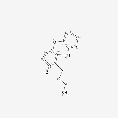 CCCCc1c(O)ccc(Oc2ccccc2)c1O